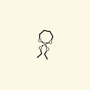 CCO[Si]1(OCC)OCCCCO1